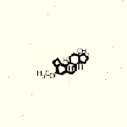 COc1cc2c(c3c1CC3)[C@H]1CC[C@]3(C)CCC[C@H]3[C@@H]1CC2